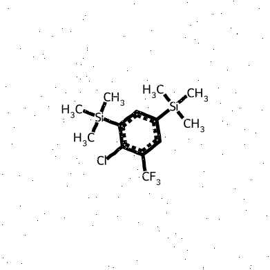 C[Si](C)(C)c1cc(C(F)(F)F)c(Cl)c([Si](C)(C)C)c1